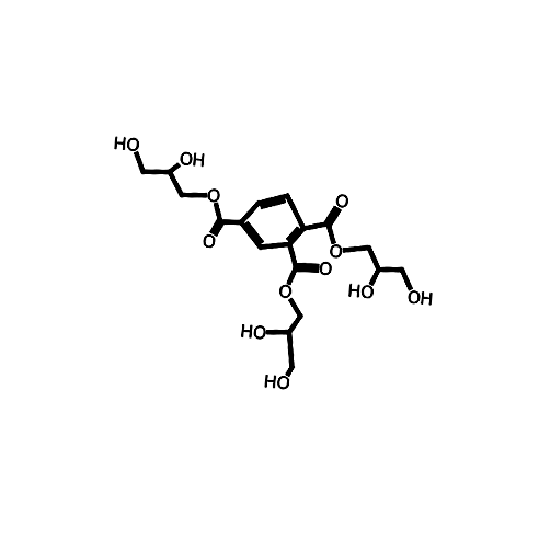 O=C(OCC(O)CO)c1ccc(C(=O)OCC(O)CO)c(C(=O)OCC(O)CO)c1